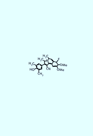 COC1=CC2=C3C(C#N)=C(c4cc(C)c(O)c(C)c4)C(C)N3C(C)C=C2C(F)C1OC